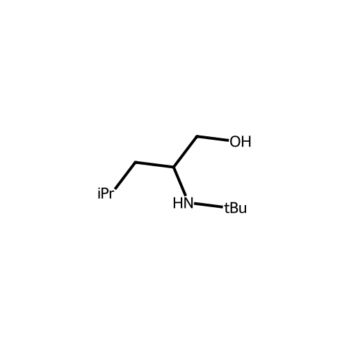 CC(C)CC(CO)NC(C)(C)C